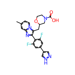 Cc1ccn2c(CC3CN(C(=O)O)CCO3)c(-c3c(F)cc(-c4cn[nH]c4)cc3F)nc2c1